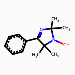 CC1(C)N=C(c2ccccc2)C(C)(C)N1O